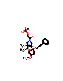 COC1=CCC(OCC#Cc2ccccc2)([C@@H]2CN(C(=O)COC(C)=O)C[C@@]2(C)[C@@H](C)O)C=C1